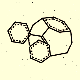 O=C(c1ccccc1)c1cc2ccc1CCc1ccc(cc1)CC2